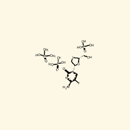 Nc1nc(=O)n([C@@H]2CS[C@H](CO)O2)cc1F.O=P(O)(O)O.O=P(O)(O)O.O=P(O)(O)O